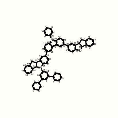 c1ccc(-c2cc(-c3ccccc3)cc(N3c4ccc(-c5ccc6c(c5)c5cc(-c7ccc8c(c7)C7Cc9ccccc9C7O8)ccc5n6-c5ccccc5)cc4C4Cc5ccccc5C43)c2)cc1